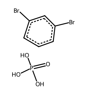 Brc1cccc(Br)c1.O=P(O)(O)O